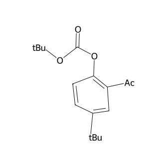 CC(=O)c1cc(C(C)(C)C)ccc1OC(=O)OC(C)(C)C